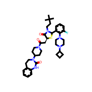 CC(C)(C)CCN1C(=O)[C@H](CC(=O)N2CCC(N3CCc4ccccc4NC3=O)CC2)SC1c1cccc(F)c1N1CCN(C2CCC2)CC1